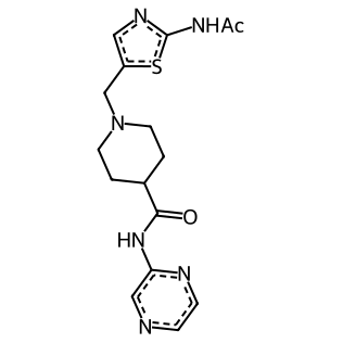 CC(=O)Nc1ncc(CN2CCC(C(=O)Nc3cnccn3)CC2)s1